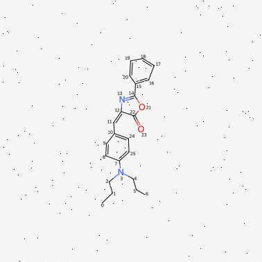 CCCN(CCC)c1ccc(C=C2N=C(c3ccccc3)OC2=O)cc1